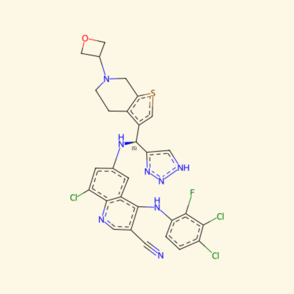 N#Cc1cnc2c(Cl)cc(N[C@H](c3c[nH]nn3)c3csc4c3CCN(C3COC3)C4)cc2c1Nc1ccc(Cl)c(Cl)c1F